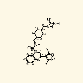 Cc1noc(C)c1-c1cc(C(=O)NCC2CCC(CNC(=O)O)CC2)c2ccccc2n1